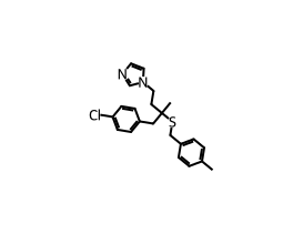 Cc1ccc(CSC(C)(CCn2ccnc2)Cc2ccc(Cl)cc2)cc1